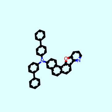 c1ccc(-c2ccc(N(c3cccc(-c4ccccc4)c3)c3ccc4c(ccc5ccc6c7ncccc7oc6c54)c3)cc2)cc1